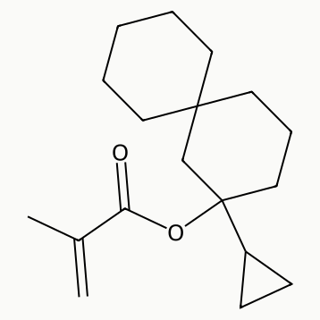 C=C(C)C(=O)OC1(C2CC2)CCCC2(CCCCC2)C1